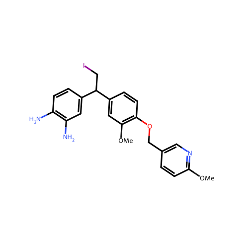 COc1ccc(COc2ccc(C(CI)c3ccc(N)c(N)c3)cc2OC)cn1